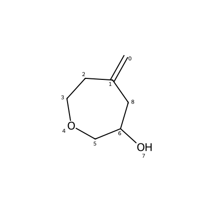 C=C1CCOCC(O)C1